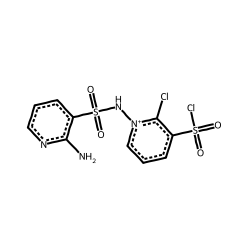 Nc1ncccc1S(=O)(=O)N[n+]1cccc(S(=O)(=O)Cl)c1Cl